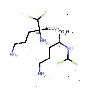 NCCC[C@H](NC(F)F)C(=O)O.NCCC[C@](N)(C(=O)O)C(F)F